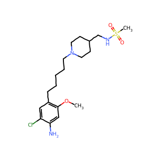 COc1cc(N)c(Cl)cc1CCCCCN1CCC(CNS(C)(=O)=O)CC1